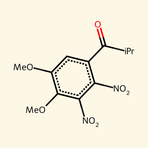 COc1cc(C(=O)C(C)C)c([N+](=O)[O-])c([N+](=O)[O-])c1OC